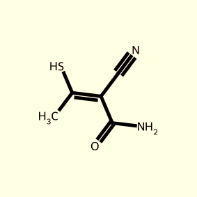 CC(S)=C(C#N)C(N)=O